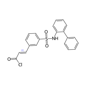 O=C(Cl)/C=C/c1cccc(S(=O)(=O)Nc2ccccc2-c2ccccc2)c1